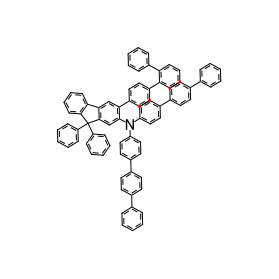 c1ccc(-c2ccc(-c3ccc(N(c4ccc(-c5ccc(-c6ccccc6)cc5)cc4)c4cc5c(cc4-c4ccc(-c6ccccc6-c6ccccc6)cc4)-c4ccccc4C5(c4ccccc4)c4ccccc4)cc3)cc2)cc1